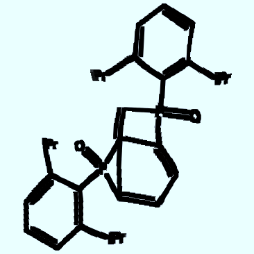 CC(C)c1cccc(C(C)C)c1P1(=O)C2=CC=C3C1=C2P3(=O)c1c(C(C)C)cccc1C(C)C